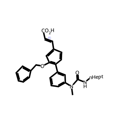 CCCCCCCNC(=O)N(C)c1cccc(-c2ccc(/C=C/C(=O)O)cc2OCc2ccccc2)c1